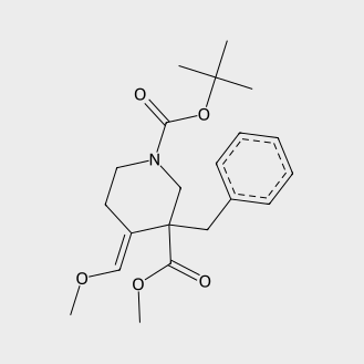 COC=C1CCN(C(=O)OC(C)(C)C)CC1(Cc1ccccc1)C(=O)OC